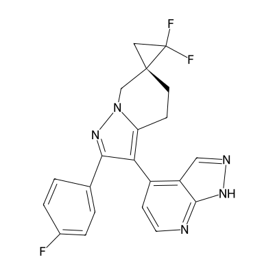 Fc1ccc(-c2nn3c(c2-c2ccnc4[nH]ncc24)CC[C@@]2(C3)CC2(F)F)cc1